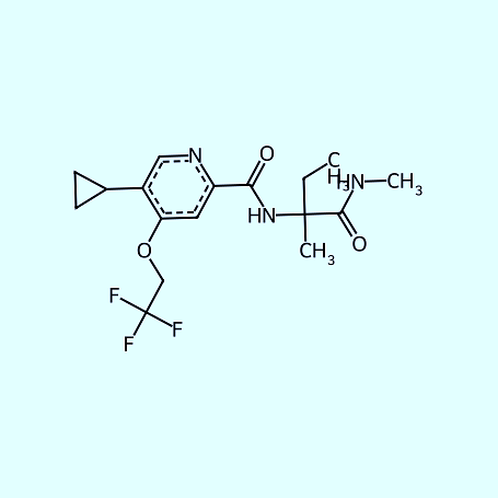 CCC(C)(NC(=O)c1cc(OCC(F)(F)F)c(C2CC2)cn1)C(=O)NC